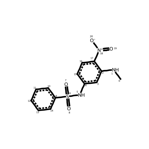 CNc1cc(NS(=O)(=O)c2ccccc2)ccc1[N+](=O)[O-]